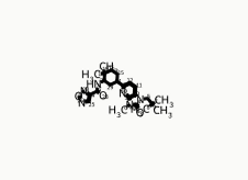 Cn1c(=O)n(CC(C)(C)C)c2ccc(C3CCC(C)(C)C(NC(=O)c4cnon4)C3)nc21